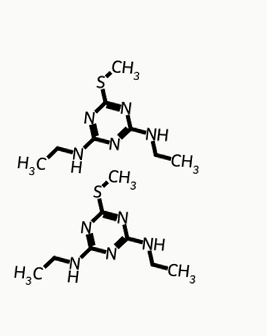 CCNc1nc(NCC)nc(SC)n1.CCNc1nc(NCC)nc(SC)n1